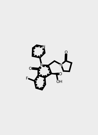 O=C(O)c1c(CN2CCCC2=O)n(-c2cccnc2)c(=O)c2c(F)cccc12